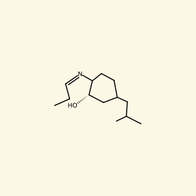 CC/C=N\C1CCC(CC(C)C)C[C@@H]1O